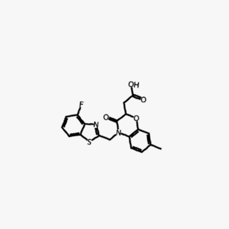 Cc1ccc2c(c1)OC(CC(=O)O)C(=O)N2Cc1nc2c(F)cccc2s1